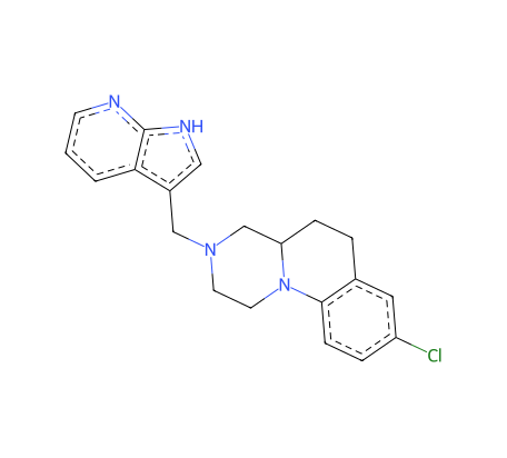 Clc1ccc2c(c1)CCC1CN(Cc3c[nH]c4ncccc34)CCN21